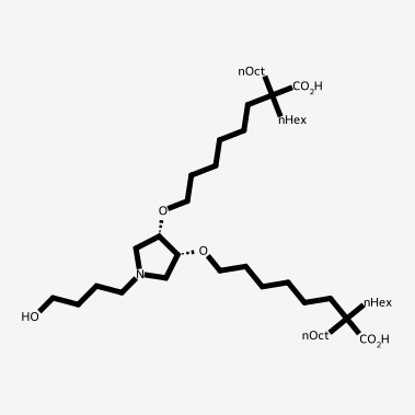 CCCCCCCCC(CCCCCC)(CCCCCCO[C@H]1CN(CCCCO)C[C@H]1OCCCCCCC(CCCCCC)(CCCCCCCC)C(=O)O)C(=O)O